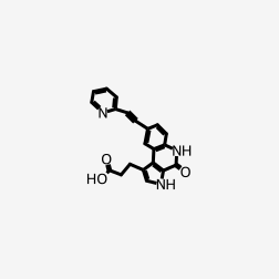 O=C(O)CCc1c[nH]c2c(=O)[nH]c3ccc(C#Cc4ccccn4)cc3c12